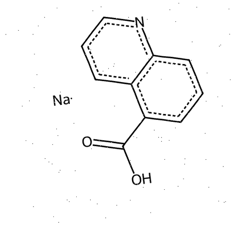 O=C(O)c1cccc2ncccc12.[Na]